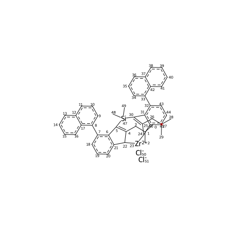 CC(C)CC1=C2c3c(-c4cccc5ccccc45)cccc3[CH]1[Zr+2][CH]1C(CC(C)C)=C(c3c(-c4cccc5ccccc45)cccc31)[Si]2(C)C.[Cl-].[Cl-]